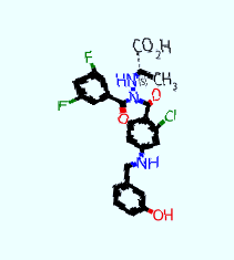 C[C@H](NN(C(=O)c1cc(F)cc(F)c1)C(=O)c1ccc(NCc2cccc(O)c2)cc1Cl)C(=O)O